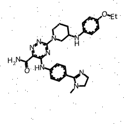 CCOc1ccc(NC2CCCN(c3nnc(C(N)=O)c(Nc4ccc(C5=NCCN5C)cc4)n3)C2)cc1